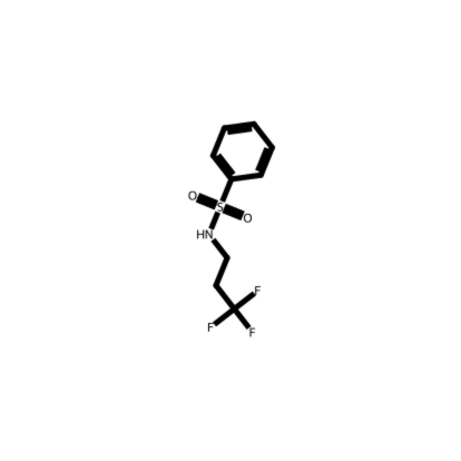 O=S(=O)(NCCC(F)(F)F)c1ccccc1